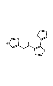 c1csc(-c2sccc2NCc2c[nH]cn2)c1